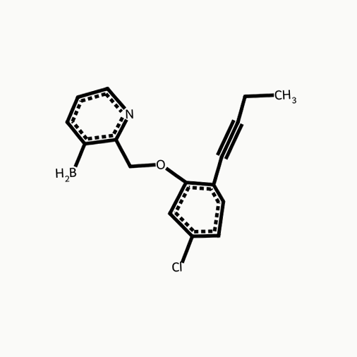 Bc1cccnc1COc1cc(Cl)ccc1C#CCC